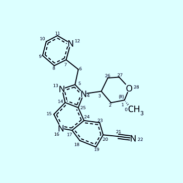 C[C@@H]1CC(n2c(Cc3ccccn3)nc3cnc4ccc(C#N)cc4c32)CCO1